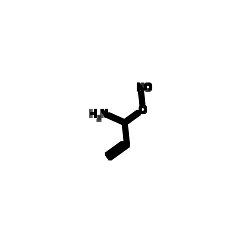 C=CC(N)ON=O